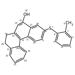 Cc1ccccc1Sc1ccc2c3c(cc(O)c2c1)CCc1ccccc1-3